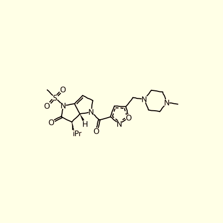 CC(C)[C@H]1C(=O)N(S(C)(=O)=O)C2=CCN(C(=O)c3cc(CN4CCN(C)CC4)on3)[C@@H]21